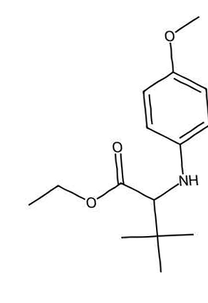 CCOC(=O)C(Nc1ccc(OC)cc1)C(C)(C)C